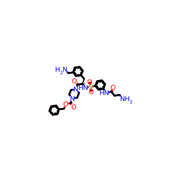 NCCC(=O)Nc1cccc(S(=O)(=O)N[C@H](Cc2cccc(CN)c2)C(=O)N2CCN(C(=O)OCc3ccccc3)CC2)c1